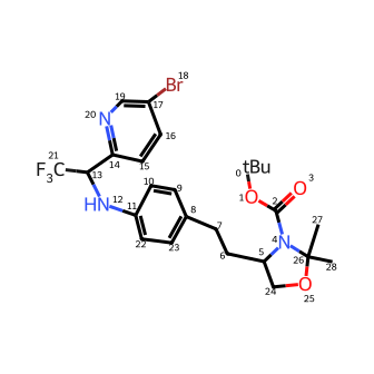 CC(C)(C)OC(=O)N1C(CCc2ccc(NC(c3ccc(Br)cn3)C(F)(F)F)cc2)COC1(C)C